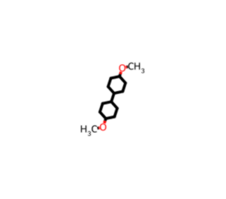 COC1CCC(C2CCC(OC)CC2)CC1